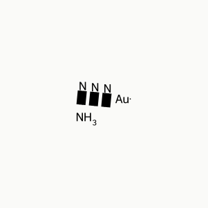 C#N.C#N.C#N.N.[Au]